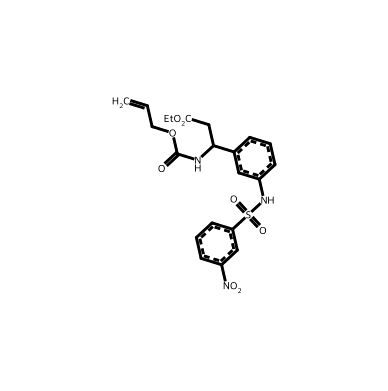 C=CCOC(=O)NC(CC(=O)OCC)c1cccc(NS(=O)(=O)c2cccc([N+](=O)[O-])c2)c1